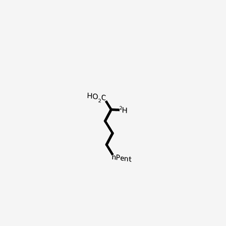 [2H]C(CCCCCCCC)C(=O)O